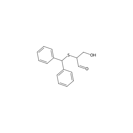 O=CC(CO)SC(c1ccccc1)c1ccccc1